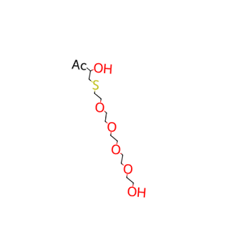 CC(=O)C(O)CSCCOCCOCCOCCOCCO